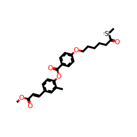 COC(=O)/C=C/c1ccc(OC(=O)c2ccc(OCCCCCC(=O)[Si]C)cc2)c(C)c1